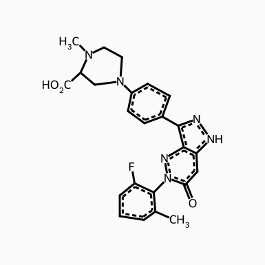 Cc1cccc(F)c1-n1nc2c(-c3ccc(N4CCN(C)C(C(=O)O)C4)cc3)n[nH]c2cc1=O